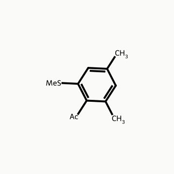 CSc1cc(C)cc(C)c1C(C)=O